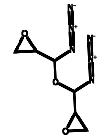 [N-]=[N+]=NC(OC(N=[N+]=[N-])C1CO1)C1CO1